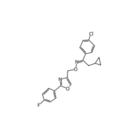 Fc1ccc(-c2nc(CO/N=C(\CC3CC3)c3ccc(Cl)cc3)co2)cc1